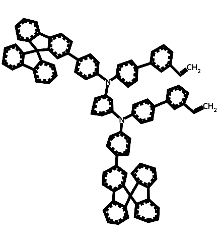 C=Cc1cccc(-c2ccc(N(c3ccc(-c4ccc5c(c4)C4(c6ccccc6-c6ccccc64)c4ccccc4-5)cc3)c3cccc(N(c4ccc(-c5cccc(C=C)c5)cc4)c4ccc(-c5ccc6c(c5)C5(c7ccccc7-c7ccccc75)c5ccccc5-6)cc4)c3)cc2)c1